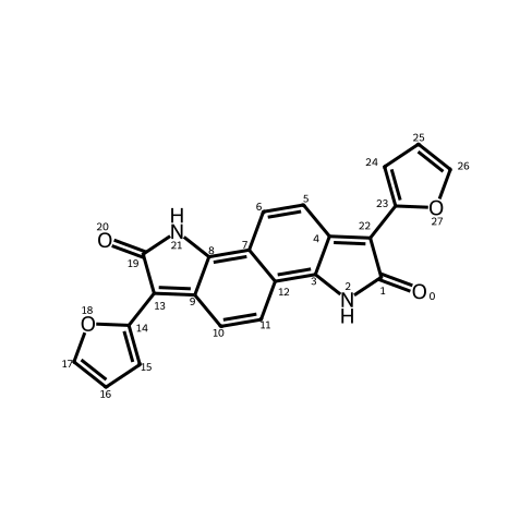 O=C1Nc2c(ccc3c4c(ccc23)=C(c2ccco2)C(=O)N4)=C1c1ccco1